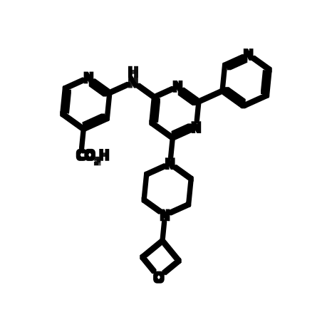 O=C(O)c1ccnc(Nc2cc(N3CCN(C4COC4)CC3)nc(-c3cccnc3)n2)c1